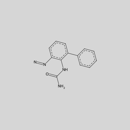 [N]=Nc1cccc(-c2ccccc2)c1NC(N)=O